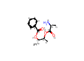 CC(C)[C@H](OC(=O)c1ccccc1)[C@H](C)OC(=O)[C@H](C)N